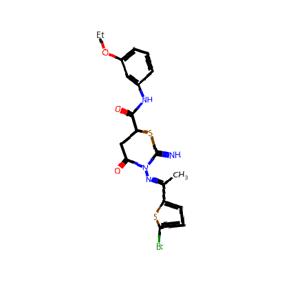 CCOc1cccc(NC(=O)C2CC(=O)N(/N=C(\C)c3ccc(Br)s3)C(=N)S2)c1